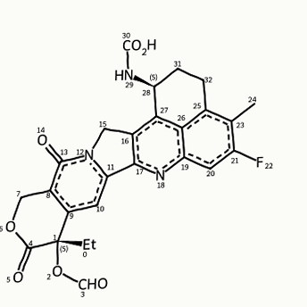 CC[C@@]1(OC=O)C(=O)OCc2c1cc1n(c2=O)Cc2c-1nc1cc(F)c(C)c3c1c2[C@@H](NC(=O)O)CC3